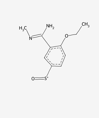 CCOc1ccc([S+]=O)cc1/C(N)=N/C